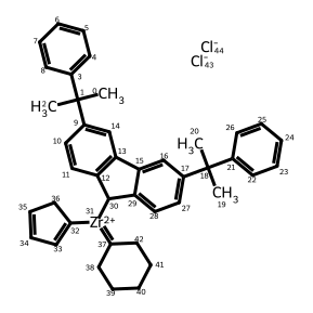 CC(C)(c1ccccc1)c1ccc2c(c1)-c1cc(C(C)(C)c3ccccc3)ccc1[CH]2[Zr+2]([C]1=CC=CC1)=[C]1CCCCC1.[Cl-].[Cl-]